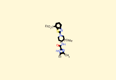 CCOC(=O)c1cccc2nc(N3CC[C@@H](NC(=O)c4nc(C)c(CC)[nH]4)[C@@H](OC)C3)sc12